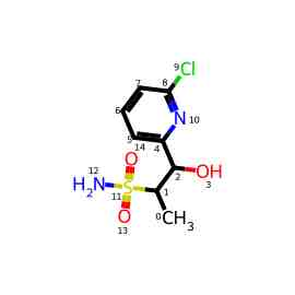 CC(C(O)c1cccc(Cl)n1)S(N)(=O)=O